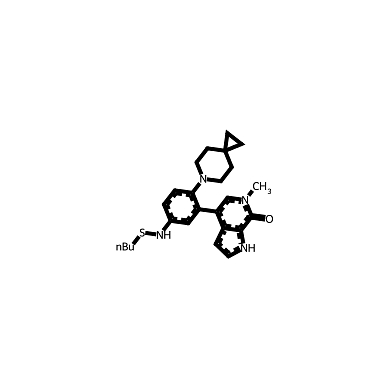 CCCCSNc1ccc(N2CCC3(CC2)CC3)c(-c2cn(C)c(=O)c3[nH]ccc23)c1